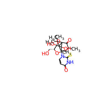 CO[C@@]1(O)[C@@H](CO)O[C@@](C)(n2ccc(=O)[nH]c2=S)[C@@]1(O)C12C(=O)C(C)CCC1C2(C)C